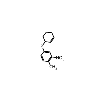 Cc1ccc(PC2C=CCCC2)cc1[N+](=O)[O-]